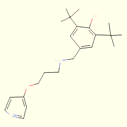 CC(C)(C)c1cc(CNCCCOc2ccncc2)cc(C(C)(C)C)c1O